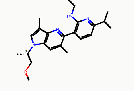 CCNc1nc(C(C)C)ccc1-c1nc2c(C)cn([C@@H](C)COC)c2cc1C